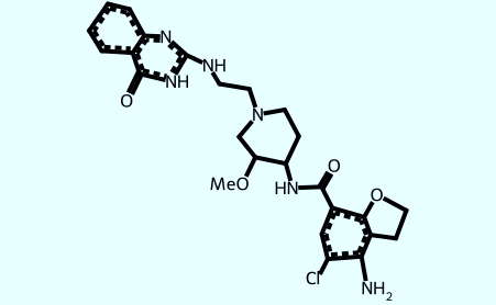 COC1CN(CCNc2nc3ccccc3c(=O)[nH]2)CCC1NC(=O)c1cc(Cl)c(N)c2c1OCC2